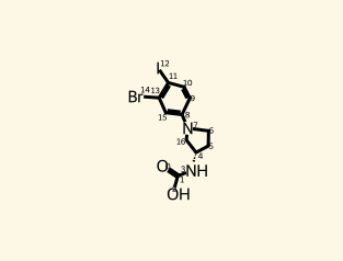 O=C(O)N[C@H]1CCN(c2ccc(I)c(Br)c2)C1